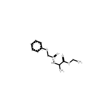 CCOC(=O)C(C)N[PH](=O)COc1ccccc1